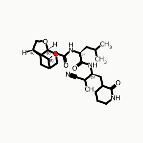 CC(C)C[C@H](NC(=O)O[C@@H]1C2CO[C@@H]3OC[C@H]1C3C2)C(=O)N[C@@H](CC1CCCNC1=O)C(C)C#N